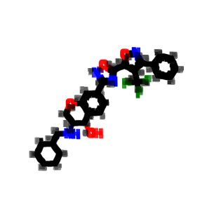 O[C@H]1c2ccc(-c3noc(-c4onc(-c5ccccc5)c4C(F)(F)F)n3)cc2OC[C@H]1NCC1CCCCC1